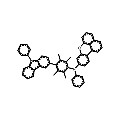 Cc1c(C)c(N(c2ccccc2)c2ccc3c(c2)Oc2cccc4cccc-3c24)c(C)c(C)c1-c1ccc2c(c1)c1ccccc1n2-c1ccccc1